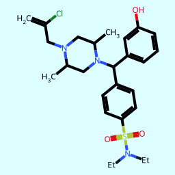 C=C(Cl)CN1CC(C)N(C(c2ccc(S(=O)(=O)N(CC)CC)cc2)c2cccc(O)c2)CC1C